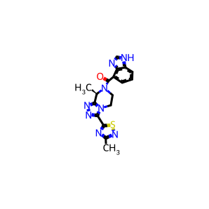 Cc1nsc(-c2nnc3n2CCN(C(=O)c2cccc4[nH]cnc24)[C@@H]3C)n1